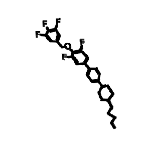 CCCCCC1CCC(c2ccc(-c3cc(F)c(OCc4cc(F)c(F)c(F)c4)c(F)c3)cc2)CC1